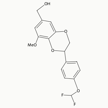 COc1cc(CO)cc2c1OC(c1ccc(OC(F)F)cc1)CO2